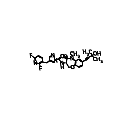 CN1C(=O)[C@H](NC(=O)n2cc(Cc3ccc(F)nc3F)cn2)COc2ccc(C#CC(C)(C)O)cc21